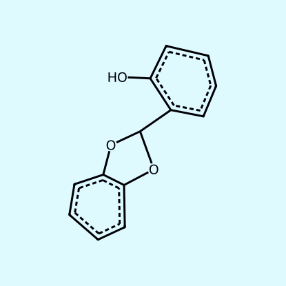 Oc1ccccc1C1Oc2ccccc2O1